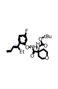 C=C/C=C(\CC)c1ccc(F)cc1ONC(=O)C1(NC(=O)OC(C)(C)C)CCOCC1